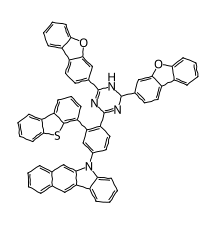 c1ccc2cc3c(cc2c1)c1ccccc1n3-c1ccc(C2=NC(c3ccc4c(c3)oc3ccccc34)NC(c3ccc4c(c3)oc3ccccc34)=N2)c(-c2cccc3c2sc2ccccc23)c1